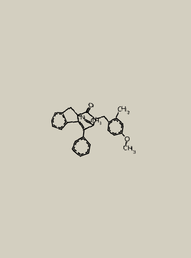 COc1ccc(CN2C(=O)C34Cc5ccccc5C3=C(c3ccccc3)C2C(C)=N4)c(C)c1